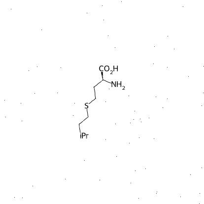 CC(C)CCSCC[C@H](N)C(=O)O